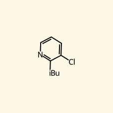 [CH2]C(CC)c1ncccc1Cl